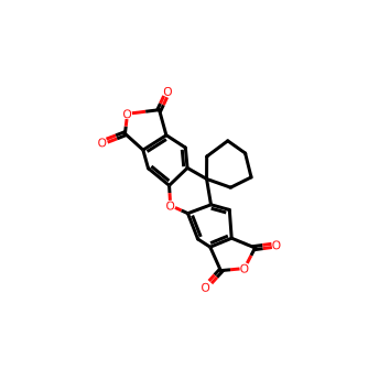 O=C1OC(=O)c2cc3c(cc21)Oc1cc2c(cc1C31CCCCC1)C(=O)OC2=O